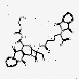 CCOC(=O)NC(=O)C1S[C@@H]2N(C(=O)[C@@]2(C=O)NC(=O)CCCC(C(=O)O)N2C(=O)c3ccccc3C2=O)C(C(=O)O)=C1C(=O)c1ccccc1